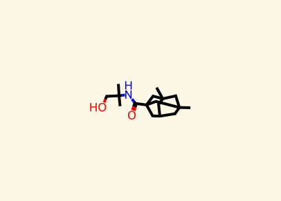 CC12CC3CC(C)(C1)CC(C(=O)NC(C)(C)CO)(C3)C2